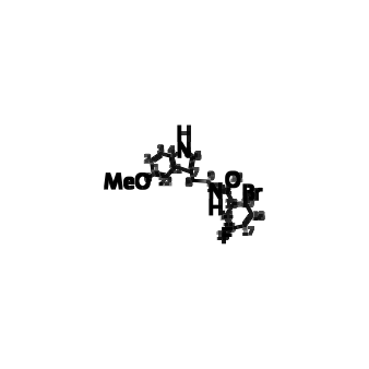 COc1ccc2[nH]cc(CCNC(=O)c3cc(F)ccc3Br)c2c1